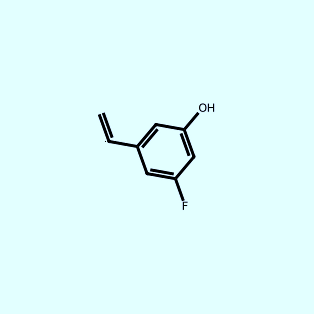 C=[C]c1cc(O)cc(F)c1